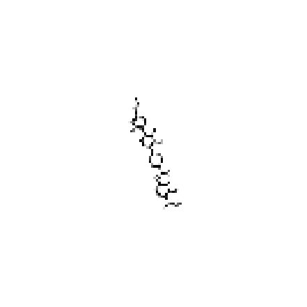 CCOc1ccc(-c2ccc(C3CCC(C(=O)Oc4ccc(C(C)O)c(F)c4F)CC3)c(F)c2F)c(F)c1F